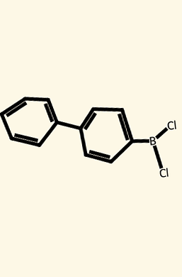 ClB(Cl)c1ccc(-c2ccccc2)cc1